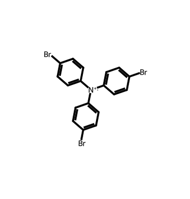 Brc1ccc([N+](c2ccc(Br)cc2)c2ccc(Br)cc2)cc1